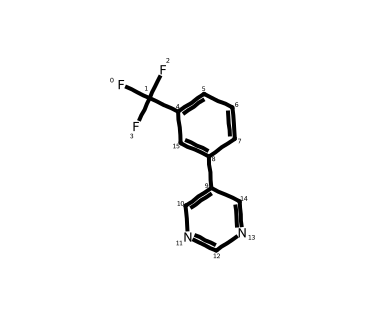 FC(F)(F)c1cccc(-c2cncnc2)c1